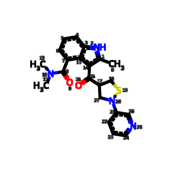 Cc1[nH]c2cccc(C(=O)N(C)C)c2c1C(=O)C1CSN(c2cccnc2)C1